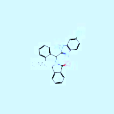 COc1ccccc1C(c1nc2ccc(Cl)cc2[nH]1)N1Cc2ccccc2C1=O